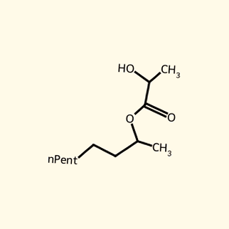 CCCCCCCC(C)OC(=O)C(C)O